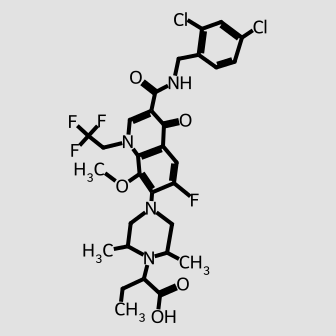 CCC(C(=O)O)N1C(C)CN(c2c(F)cc3c(=O)c(C(=O)NCc4ccc(Cl)cc4Cl)cn(CC(F)(F)F)c3c2OC)CC1C